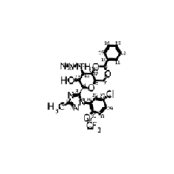 Cc1nc([C@@H]2OC3COC(c4ccccc4)O[C@@H]3C(N=[N+]=[N-])C2O)n(-c2cc(Cl)ccc2OC(F)(F)F)n1